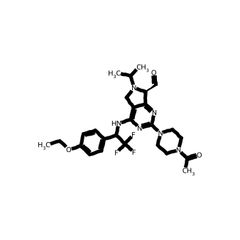 CCOc1ccc(C(Nc2nc(N3CCN(C(C)=O)CC3)nc3c2CN(C(C)C)[C@H]3C=O)C(F)(F)F)cc1